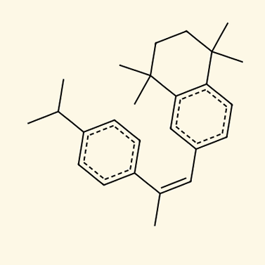 CC(=Cc1ccc2c(c1)C(C)(C)CCC2(C)C)c1ccc(C(C)C)cc1